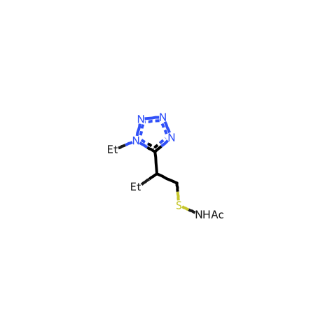 CCC(CSNC(C)=O)c1nnnn1CC